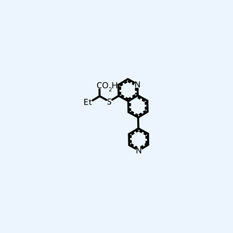 CCC(Sc1ccnc2ccc(-c3ccncc3)cc12)C(=O)O